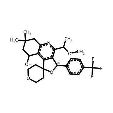 COC(C)c1nc2c(c3c1[C@@H](c1ccc(C(F)(F)F)cc1)OC31CCOCC1)C(O)CC(C)(C)C2